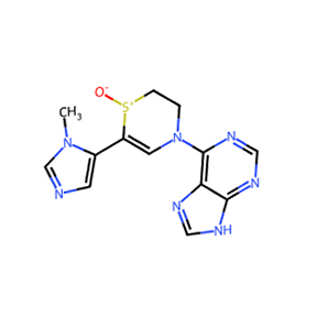 Cn1cncc1C1=CN(c2ncnc3[nH]cnc23)CC[S+]1[O-]